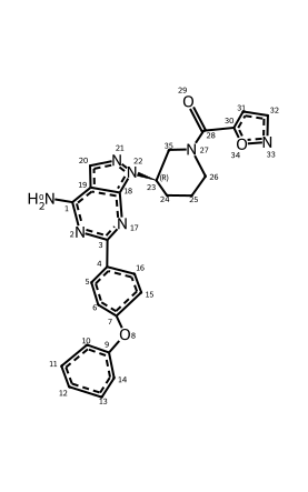 Nc1nc(-c2ccc(Oc3ccccc3)cc2)nc2c1cnn2[C@@H]1CCCN(C(=O)c2ccno2)C1